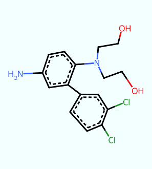 Nc1ccc(N(CCO)CCO)c(-c2ccc(Cl)c(Cl)c2)c1